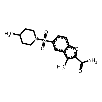 Cc1c(C(N)=O)oc2ccc(S(=O)(=O)N3CCC(C)CC3)cc12